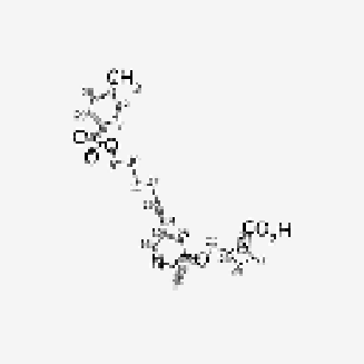 Cc1ccc(S(=O)(=O)OCCCCC#Cc2cnc(F)c(OCC3CCN3C(=O)O)c2)cc1